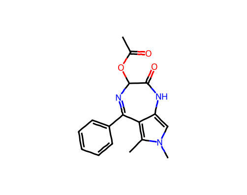 CC(=O)OC1N=C(c2ccccc2)c2c(cn(C)c2C)NC1=O